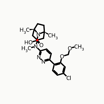 COCOc1cc(Cl)ccc1-c1ccc(N(C)[C@H]2C[C@]3(C)CC[C@](C)(C2)N3C(=O)O)nn1